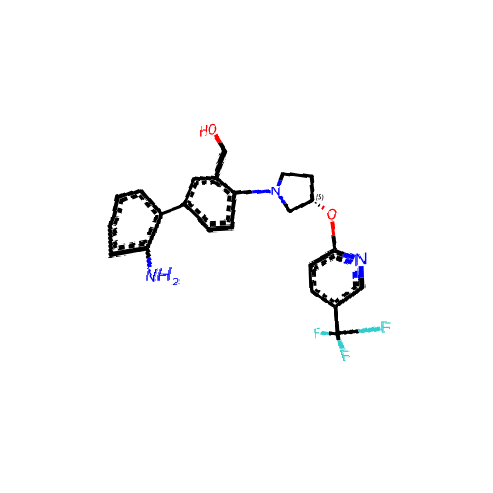 Nc1ccccc1-c1ccc(N2CC[C@H](Oc3ccc(C(F)(F)F)cn3)C2)c(CO)c1